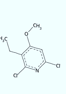 CCc1c(OC)cc(Cl)nc1Cl